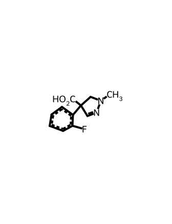 CN1CC(C(=O)O)(c2ccccc2F)C=N1